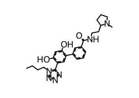 CCCCn1nnnc1-c1cc(-c2cccc(C(=O)NCCC3CCCN3C)c2)c(O)cc1O